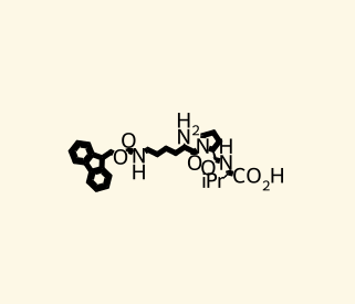 CC(C)[C@H](NC(=O)[C@@H]1CCCN1C(=O)[C@@H](N)CCCCNC(=O)OCC1c2ccccc2-c2ccccc21)C(=O)O